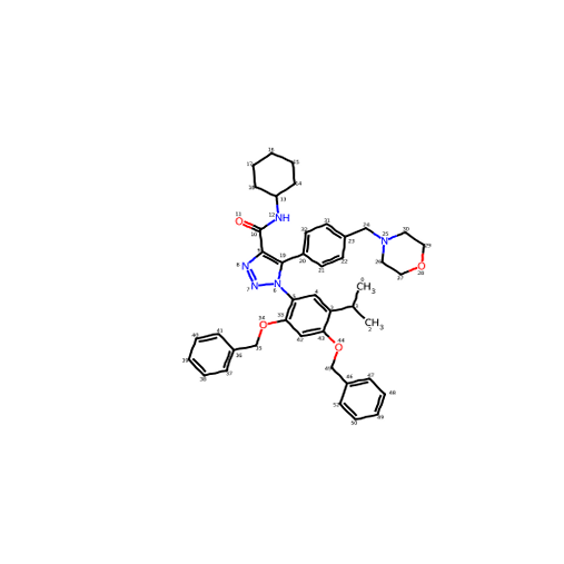 CC(C)c1cc(-n2nnc(C(=O)NC3CCCCC3)c2-c2ccc(CN3CCOCC3)cc2)c(OCc2ccccc2)cc1OCc1ccccc1